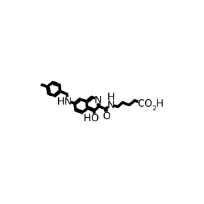 Cc1ccc(CNc2ccc3c(O)c(C(=O)NCCCCC(=O)O)ncc3c2)cc1